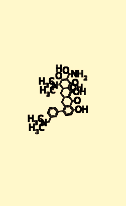 CN(C)Cc1cccc(-c2ccc(O)c3c2CC2CC4C(N(C)C)C(O)=C(C(N)=O)C(=O)C4(O)C(O)=C2C3=O)c1